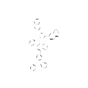 c1ccc(-n2c3ccccc3c3cc4c(cc32)sc2c4c3ccccc3c3c2c2ccccc2n3-c2cc(-c3ccc4ccccc4c3)nc(-c3ccc4ccccc4c3)n2)cc1